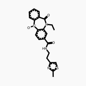 CCN1C(=O)c2ccccc2[S+]([O-])c2ccc(C(=O)NCCc3csc(C)n3)cc21